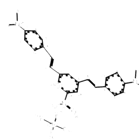 CN(C)c1ccc(C=Cc2cc(C=Cc3ccc(N(C)C)cc3)[o+]c([N+](=O)[O-])c2)cc1.F[B-](F)(F)F